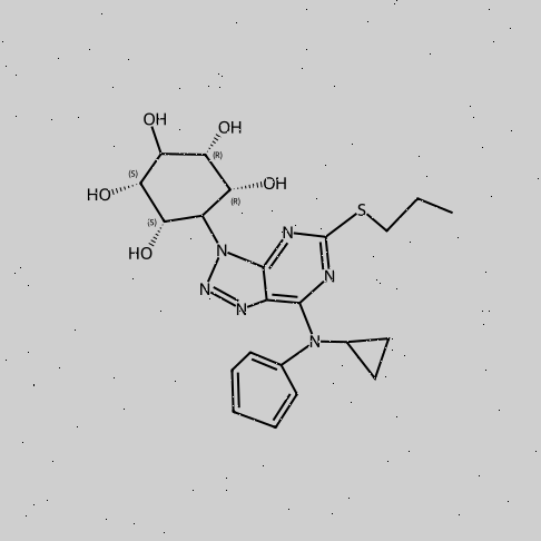 CCCSc1nc(N(c2ccccc2)C2CC2)c2nnn(C3[C@@H](O)[C@@H](O)C(O)[C@@H](O)[C@H]3O)c2n1